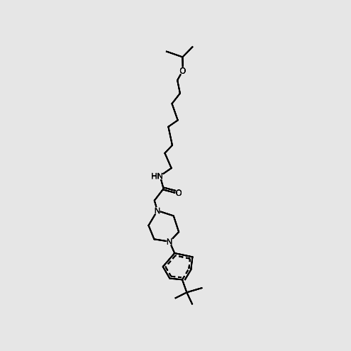 CC(C)OCCCCCCCCNC(=O)CN1CCN(c2ccc(C(C)(C)C)cc2)CC1